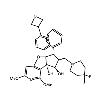 COc1cc2c(c(OC)n1)[C@]1(O)[C@H](O)[C@H](CN3CCC(F)(F)CC3)[C@@H](c3ccccc3)[C@]1(c1ccc(C3COC3)cc1)O2